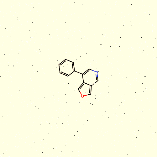 c1ccc(-c2cncc3cocc23)cc1